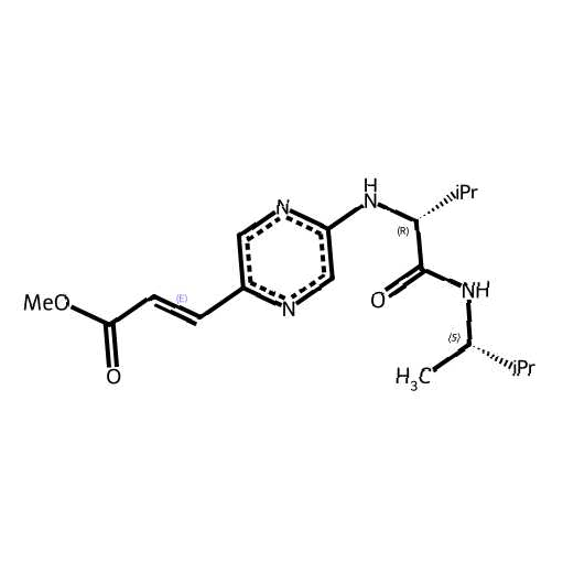 COC(=O)/C=C/c1cnc(N[C@@H](C(=O)N[C@@H](C)C(C)C)C(C)C)cn1